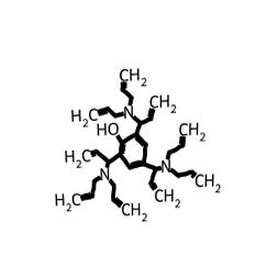 C=CCN(CC=C)C(C=C)c1cc(C(C=C)N(CC=C)CC=C)c(O)c(C(C=C)N(CC=C)CC=C)c1